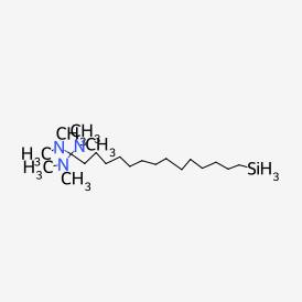 CN(C)C(CCCCCCCCCCCCCC[SiH3])(N(C)C)N(C)C